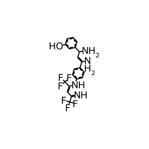 N=C(/C=C(\Nc1ccc(/C(N)=C/C(N)c2cccc(O)c2)cc1)C(F)(F)F)C(F)(F)F